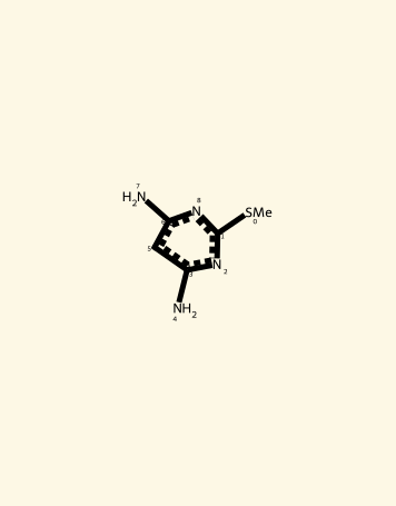 [CH2]Sc1nc(N)cc(N)n1